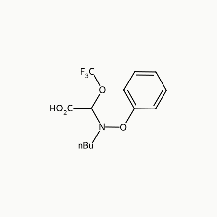 CCCCN(Oc1ccccc1)C(OC(F)(F)F)C(=O)O